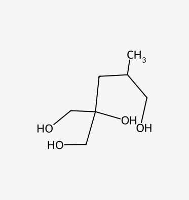 CC(CO)CC(O)(CO)CO